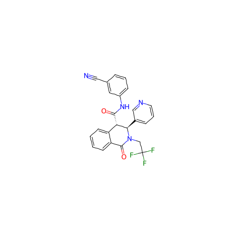 N#Cc1cccc(NC(=O)[C@H]2c3ccccc3C(=O)N(CC(F)(F)F)[C@@H]2c2cccnc2)c1